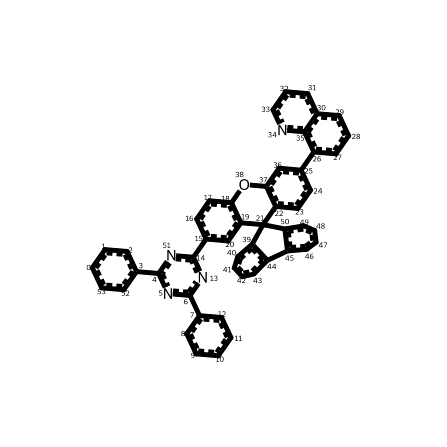 c1ccc(-c2nc(-c3ccccc3)nc(-c3ccc4c(c3)C3(c5ccc(-c6cccc7cccnc67)cc5O4)c4ccccc4-c4ccccc43)n2)cc1